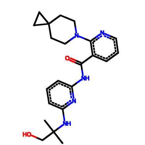 CC(C)(CO)Nc1cccc(NC(=O)c2cccnc2N2CCC3(CC2)CC3)n1